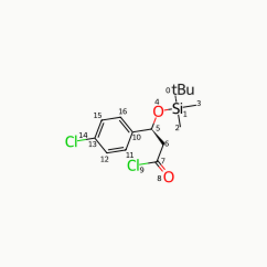 CC(C)(C)[Si](C)(C)O[C@@H](CC(=O)Cl)c1ccc(Cl)cc1